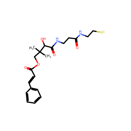 CC(C)(COC(=O)/C=C/c1ccccc1)C(O)C(=O)NCCC(=O)NCCS